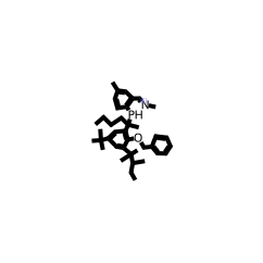 CCCCC(C)(Pc1ccc(C)cc1/C=N/C)c1cc(C(C)(C)C)cc(C(C)(C)C(C)CC)c1OCc1ccccc1